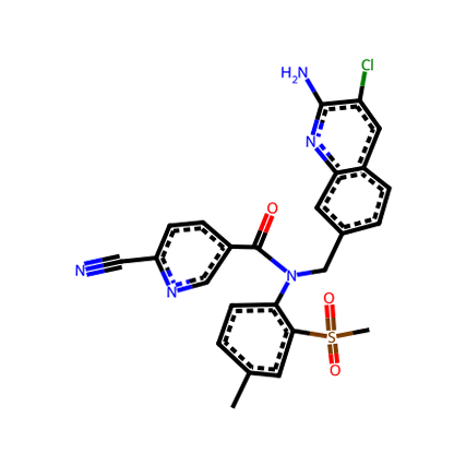 Cc1ccc(N(Cc2ccc3cc(Cl)c(N)nc3c2)C(=O)c2ccc(C#N)nc2)c(S(C)(=O)=O)c1